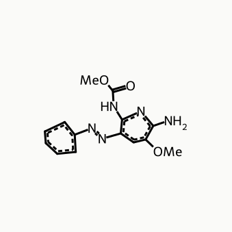 COC(=O)Nc1nc(N)c(OC)cc1/N=N/c1ccccc1